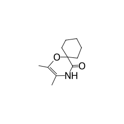 CC1=C(C)OC2(CCCCC2)C(=O)N1